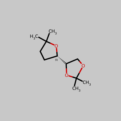 CC1(C)CC[C@@H](C2COC(C)(C)O2)O1